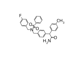 Cc1ccc(C(C(N)=O)c2ccc(CN(Cc3ccc(F)cc3)S(=O)(=O)c3ccccc3)cc2)cc1